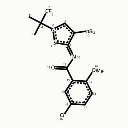 CCCCc1cn(C(C)(C)C(F)(F)F)sc1=NC(=O)c1cc(Cl)ccc1OC